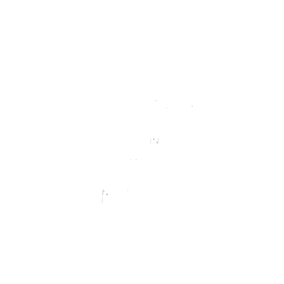 C=C(C)C(=O)Nc1ccccc1S(=O)(=O)N[C@H](C)CC